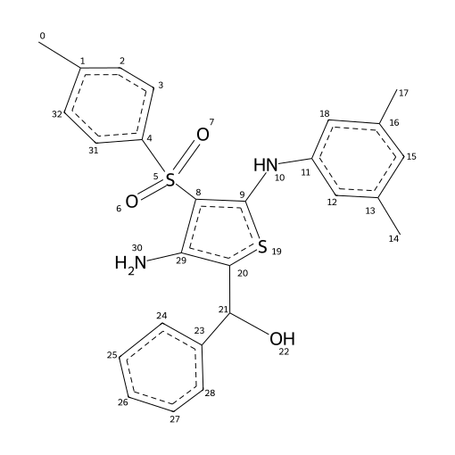 Cc1ccc(S(=O)(=O)c2c(Nc3cc(C)cc(C)c3)sc(C(O)c3ccccc3)c2N)cc1